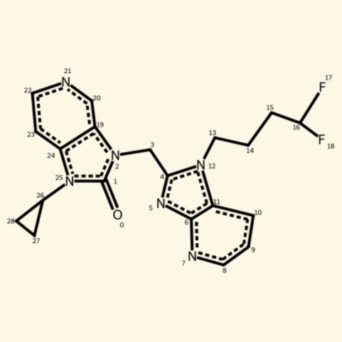 O=c1n(Cc2nc3ncccc3n2CCCC(F)F)c2cnccc2n1C1CC1